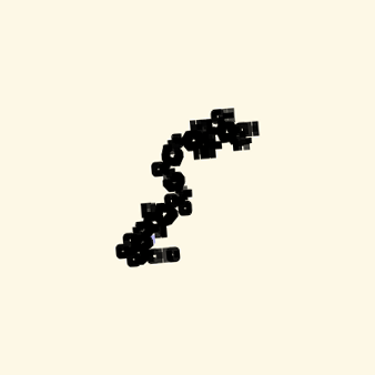 CCc1c2c(nc3ccc(OC(=O)N(C)C4CCN(C(=O)C5CCN(Sc6ccc(N(C(C)=N)C(=N)c7cc(C(C)C)c(O)cc7O)cc6)CC5)CC4)cc13)/C(=C/C1=C(C=O)COC(=O)C13CO3)N(C)C2